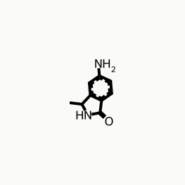 CC1NC(=O)c2ccc(N)cc21